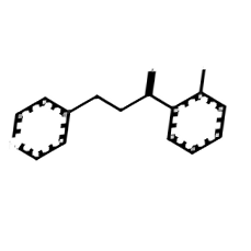 O=C(CCc1ccncc1)c1ccccc1O